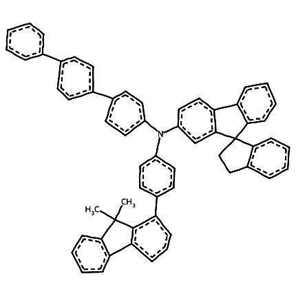 CC1(C)c2ccccc2-c2cccc(-c3ccc(N(c4ccc(-c5ccc(-c6ccccc6)cc5)cc4)c4ccc5c(c4)C4(CCc6ccccc64)c4ccccc4-5)cc3)c21